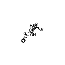 O=C(OCc1ccccc1)OC[C@@H]1O[C@H](n2cc(C=CBr)c(=O)[nH]c2=O)CC1O